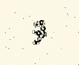 FC(F)(F)Oc1cccnc1N1CCC(c2nnc3n2-c2ccc(Cl)cc2CN(CC(F)(F)C2COC2)C3)CC1